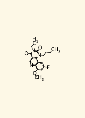 CCCCn1c(=O)n(CC)c(=O)c2cnc3c(OC)cc(F)cc3c21